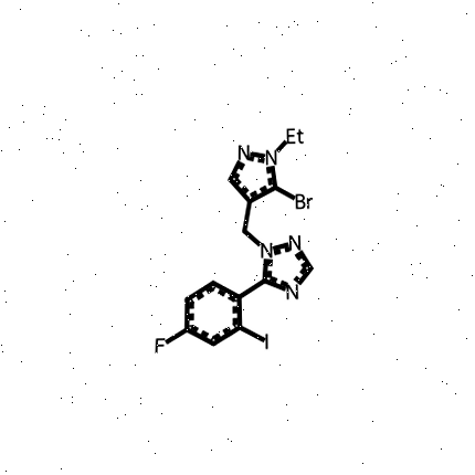 CCn1ncc(Cn2ncnc2-c2ccc(F)cc2I)c1Br